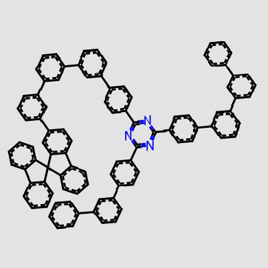 c1ccc(-c2cccc(-c3ccc(-c4nc(-c5ccc(-c6cccc(-c7cccc(-c8ccccc8)c7)c6)cc5)nc(-c5ccc(-c6cccc(-c7cccc(-c8cccc(-c9ccc%10c(c9)C9(c%11ccccc%11-c%11ccccc%119)c9ccccc9-%10)c8)c7)c6)cc5)n4)cc3)c2)cc1